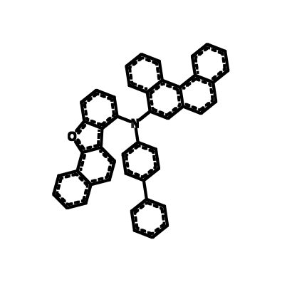 c1ccc(-c2ccc(N(c3cc4ccc5ccccc5c4c4ccccc34)c3cccc4oc5c6ccccc6ccc5c34)cc2)cc1